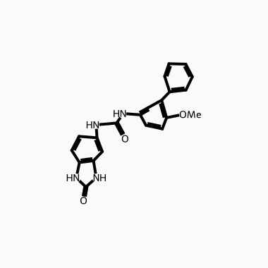 COc1ccc(NC(=O)Nc2ccc3[nH]c(=O)[nH]c3c2)cc1-c1ccccc1